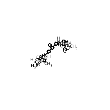 COC(=O)N[C@H](C(=O)N1C[C@@H](C)C[C@H]1c1ncc(-c2ccc(-c3ccc(-c4ccc5[nH]c([C@@H]6CC[C@H](C)N6C(=O)[C@@H](NC(=O)OC)C6CCOCC6)nc5c4)c4c3C3CCC4C3)cc2)[nH]1)C(C)C